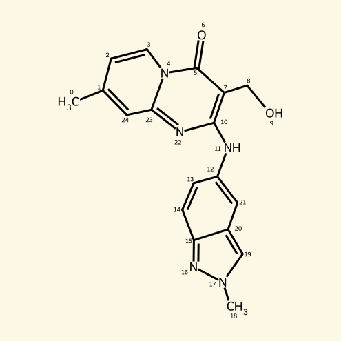 Cc1ccn2c(=O)c(CO)c(Nc3ccc4nn(C)cc4c3)nc2c1